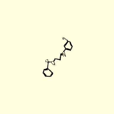 CC(C)c1cccc(N=CCCOC(=O)c2ccccc2)c1